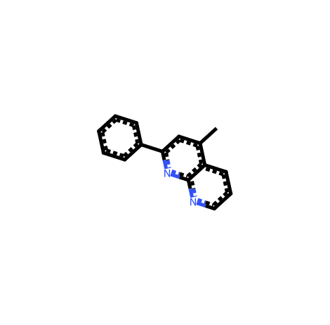 Cc1cc(-c2ccccc2)nc2ncccc12